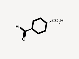 CCC(=O)[C@H]1CC[C@H](C(=O)O)CC1